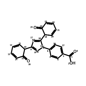 O=C(O)c1ccc(-n2nc(C3C=CC=CC3=O)nc2C2C=CC=CC2=O)cc1